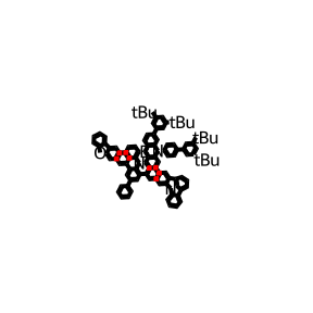 CC(C)(C)c1cc(-c2ccc(N3c4cc(-c5cc(C(C)(C)C)cc(C(C)(C)C)c5)ccc4B4c5ccc(-c6ccc7oc8ccccc8c7c6)cc5N(c5c(-c6ccccc6)cc(-c6ccccc6)cc5-c5ccccc5)c5cc(-c6ccc7c(c6)c6cccc8c9ccccc9n7c86)cc3c54)cc2)cc(C(C)(C)C)c1